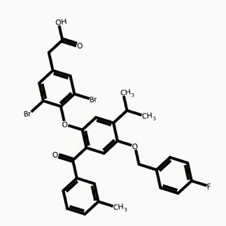 Cc1cccc(C(=O)c2cc(OCc3ccc(F)cc3)c(C(C)C)cc2Oc2c(Br)cc(CC(=O)O)cc2Br)c1